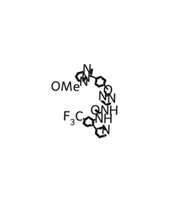 COc1ccc2ncc(-c3ccc(Oc4ncc(NC(=O)Nc5cc(C(F)(F)F)ccc5-c5cccnc5)cn4)cc3)n2n1